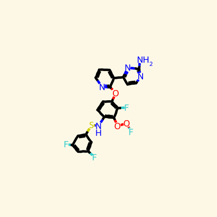 Nc1nccc(-c2cccnc2Oc2ccc(NSc3cc(F)cc(F)c3)c(OOF)c2F)n1